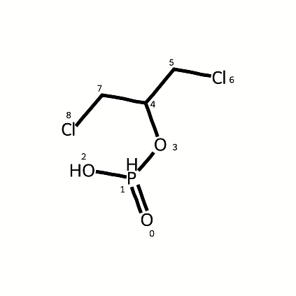 O=[PH](O)OC(CCl)CCl